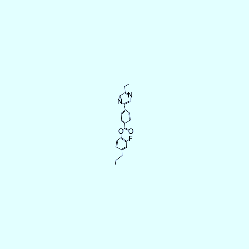 CCCc1ccc(OC(=O)c2ccc(-c3cnc(CC)cn3)cc2)c(F)c1